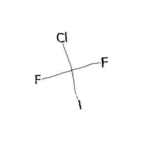 FC(F)(Cl)I